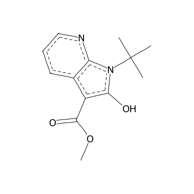 COC(=O)c1c(O)n(C(C)(C)C)c2ncccc12